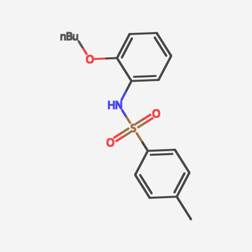 CCCCOc1ccccc1NS(=O)(=O)c1ccc(C)cc1